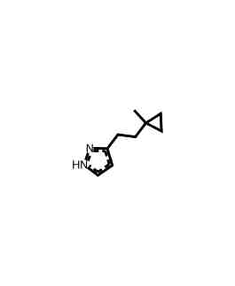 CC1(CCc2cc[nH]n2)CC1